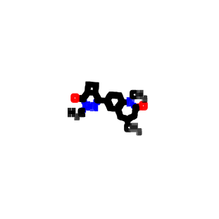 CC1CC(=O)N(C)c2ccc(C3=NN(C)C(=O)C4CCC34)cc2C1